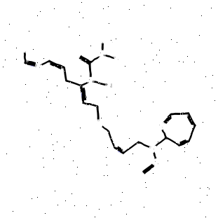 C=NN(C/C=C\COC/C=C(/C/C=C\N=C/C)N(N)C(=O)N(C)N)C1C=CC=CC=N1